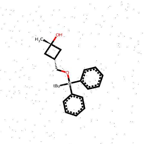 CC(C)(C)[Si](OC[C@H]1C[C@@](C)(O)C1)(c1ccccc1)c1ccccc1